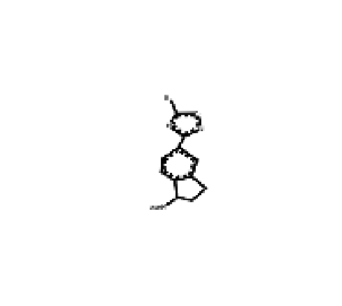 CCc1nc(-c2ccc3c(c2)CCC3NC)no1